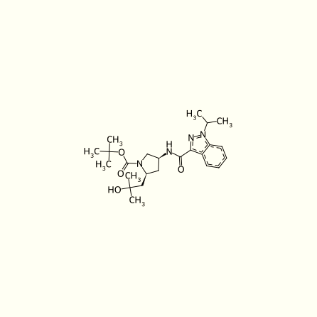 CC(C)n1nc(C(=O)N[C@H]2C[C@@H](CC(C)(C)O)N(C(=O)OC(C)(C)C)C2)c2ccccc21